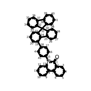 O=c1c2ccccc2c2ccccc2n1-c1ccc(-c2cccc3c2-c2ccccc2C32c3ccccc3-c3ccccc32)cc1